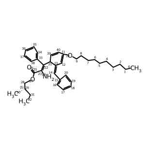 CCCCCCCCCCOC1=CC(=Cc2ccccc2)C(C(=C(N)C(=O)OC[C@@H](C)CC)c2ccccc2)C=C1